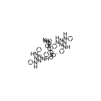 O=S(=O)([O-])c1cc(Nc2nc(Nc3ccccc3)nc(Nc3ccccc3)n2)ccc1/C=C/c1ccc(Nc2nc(Nc3ccccc3)nc(Nc3ccccc3)n2)cc1S(=O)(=O)[O-].[Na+].[Na+]